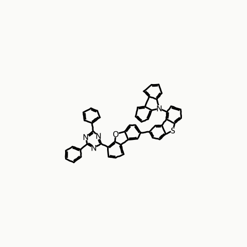 c1ccc(-c2nc(-c3ccccc3)nc(-c3cccc4c3oc3ccc(-c5ccc6sc7cccc(-n8c9ccccc9c9ccccc98)c7c6c5)cc34)n2)cc1